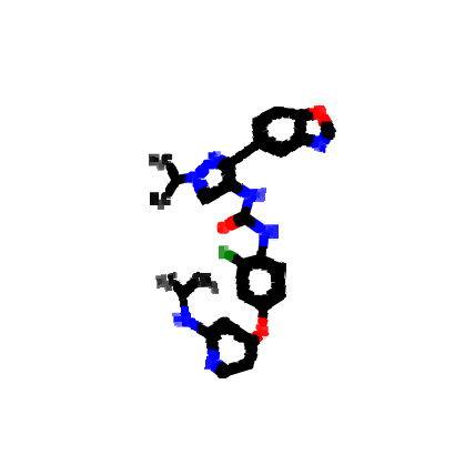 CC(C)Nc1cc(Oc2ccc(NC(=O)Nc3cn(C(C)C)nc3-c3ccc4ocnc4c3)c(F)c2)ccn1